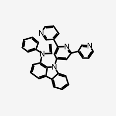 C=CN(c1ccccc1)c1cccc2c3ccccc3n(-c3cc(-c4cccnc4)nc(-c4cccnc4)c3)c12